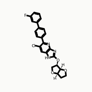 Fc1cccc(-c2ccc(-c3nc4nc(O[C@@H]5CO[C@@H]6CCO[C@@H]65)[nH]c4cc3Cl)cc2)c1